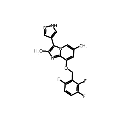 Cc1cc(OCc2c(F)ccc(F)c2F)c2nc(C)c(-c3cn[nH]c3)n2c1